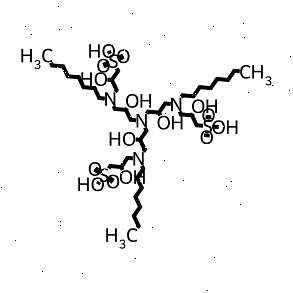 CCCCCCCCN(CC(O)CN(CC(O)CN(CCCCCCCC)CC(O)CS(=O)(=O)O)CC(O)CN(CCCCCCCC)CC(O)CS(=O)(=O)O)CC(O)CS(=O)(=O)O